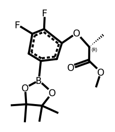 COC(=O)[C@@H](C)Oc1cc(B2OC(C)(C)C(C)(C)O2)cc(F)c1F